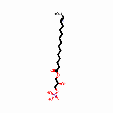 CCCCCCCC/C=C/CCCCCCCCCCCC(=O)OCC(O)COP(=O)(O)O